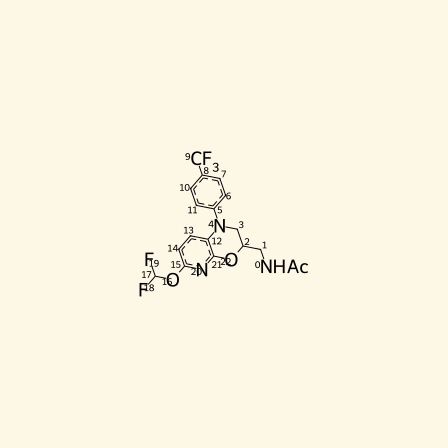 CC(=O)NCC1CN(c2ccc(C(F)(F)F)cc2)c2ccc(OC(F)F)nc2O1